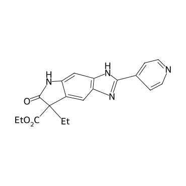 CCOC(=O)C1(CC)C(=O)Nc2cc3[nH]c(-c4ccncc4)nc3cc21